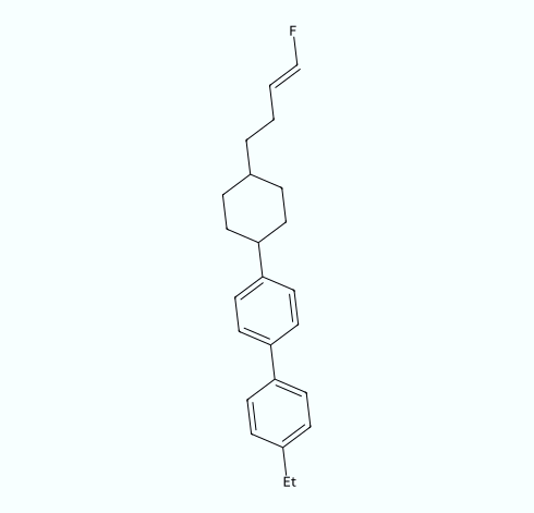 CCc1ccc(-c2ccc(C3CCC(CCC=CF)CC3)cc2)cc1